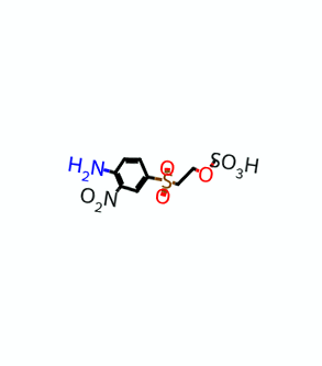 Nc1ccc(S(=O)(=O)CCOS(=O)(=O)O)cc1[N+](=O)[O-]